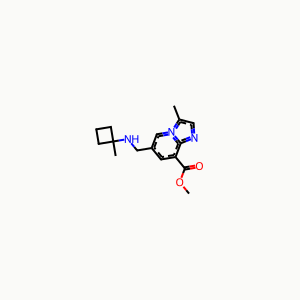 COC(=O)c1cc(CNC2(C)CCC2)cn2c(C)cnc12